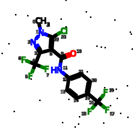 Cn1nc(C(F)(F)F)c(C(=O)Nc2ccc(C(F)(F)F)cc2)c1Cl